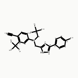 N#Cc1ccc(N(Cc2nc(-c3ccc(F)cc3)n[nH]2)CC(F)(F)F)cc1C(F)(F)F